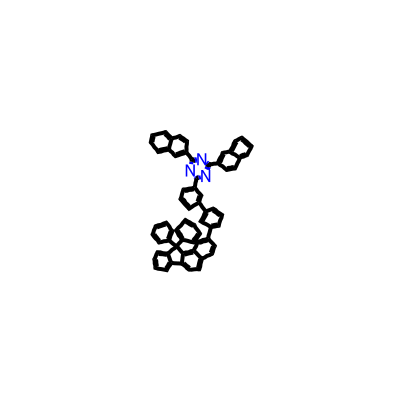 c1ccc(C2(c3ccccc3)c3ccccc3-c3ccc4ccc(-c5cccc(-c6cccc(-c7nc(-c8ccc9ccccc9c8)nc(-c8ccc9ccccc9c8)n7)c6)c5)cc4c32)cc1